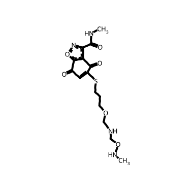 CNOCNCOCCCSC1=CC(=O)c2onc(C(=O)NC)c2C1=O